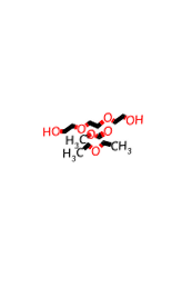 CCOCC.COC=O.OCCOCCOCCO